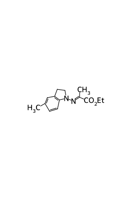 CCOC(=O)C(C)=NN1CCc2cc(C)ccc21